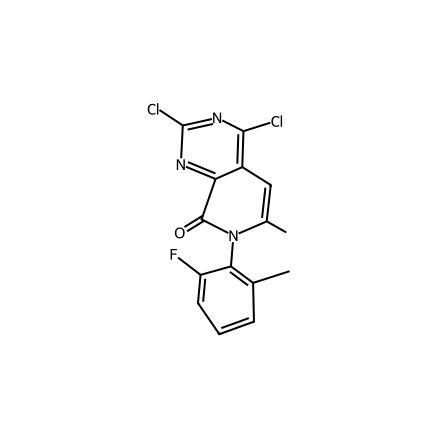 Cc1cccc(F)c1-n1c(C)cc2c(Cl)nc(Cl)nc2c1=O